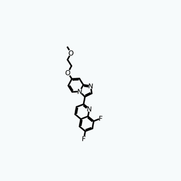 COCCOc1ccn2c(-c3ccc4cc(F)cc(F)c4n3)cnc2c1